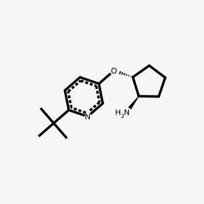 CC(C)(C)c1ccc(O[C@@H]2CCC[C@H]2N)cn1